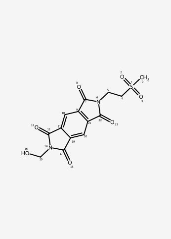 CS(=O)(=O)CCn1c(=O)c2cc3c(=O)n(CO)c(=O)c3cc2c1=O